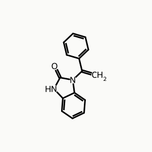 C=C(c1ccccc1)n1c(=O)[nH]c2ccccc21